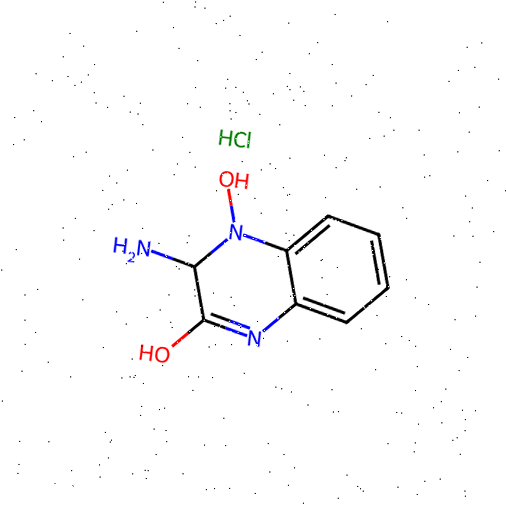 Cl.NC1C(O)=Nc2ccccc2N1O